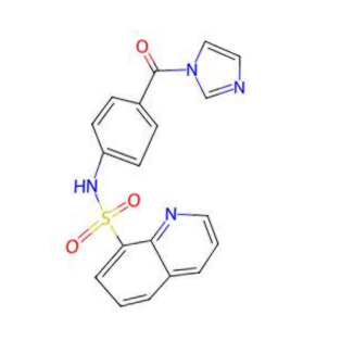 O=C(c1ccc(NS(=O)(=O)c2cccc3cccnc23)cc1)n1ccnc1